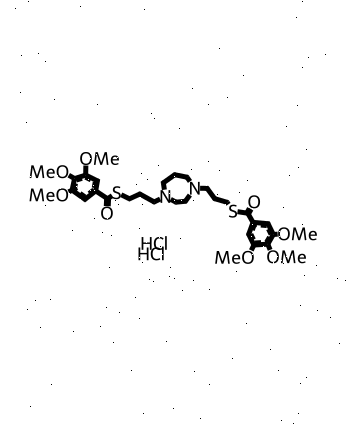 COc1cc(C(=O)SCCCN2CCCN(CCCSC(=O)c3cc(OC)c(OC)c(OC)c3)CC2)cc(OC)c1OC.Cl.Cl